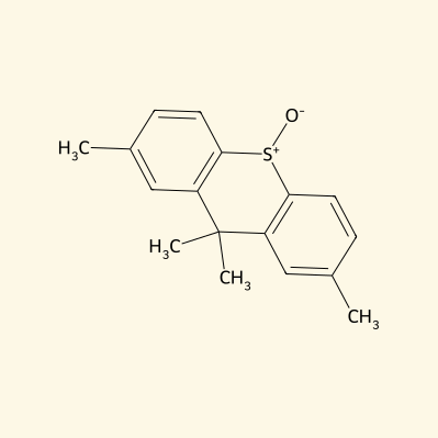 Cc1ccc2c(c1)C(C)(C)c1cc(C)ccc1[S+]2[O-]